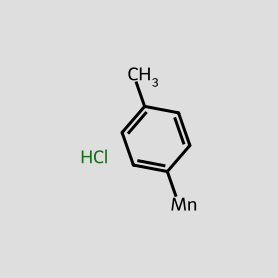 Cc1cc[c]([Mn])cc1.Cl